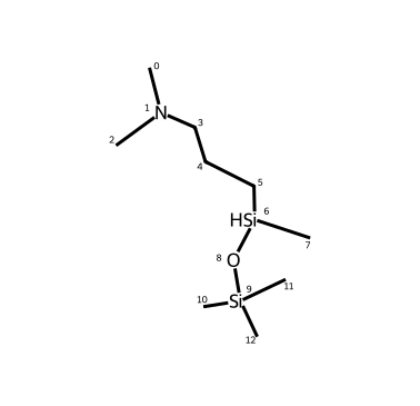 CN(C)CCC[SiH](C)O[Si](C)(C)C